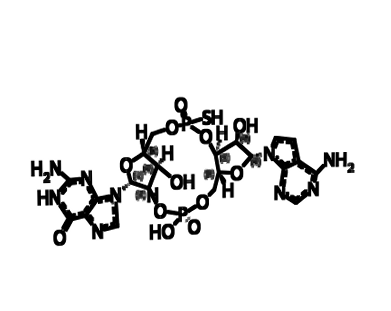 Nc1nc2c(ncn2[C@@H]2O[C@@H]3COP(=O)(S)O[C@H]4[C@@H](O)[C@H](n5ccc6c(N)ncnc65)O[C@@H]4COP(=O)(O)O[C@@H]2[C@@H]3O)c(=O)[nH]1